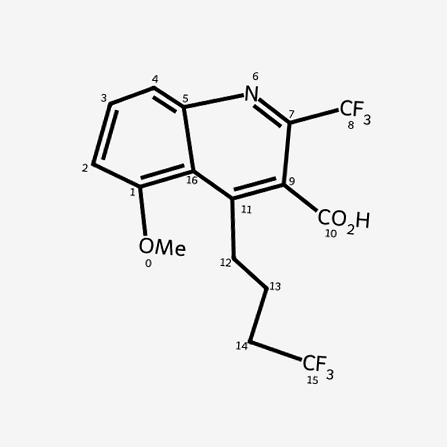 COc1cccc2nc(C(F)(F)F)c(C(=O)O)c(CCCC(F)(F)F)c12